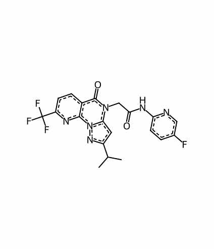 CC(C)c1cc2n(CC(=O)Nc3ccc(F)cn3)c(=O)c3ccc(C(F)(F)F)nc3n2n1